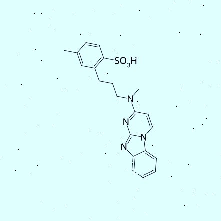 Cc1ccc(S(=O)(=O)O)c(CCCN(C)c2ccn3c(n2)nc2ccccc23)c1